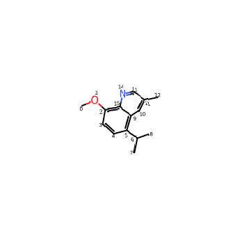 COc1ccc(C(C)C)c2cc(C)cnc12